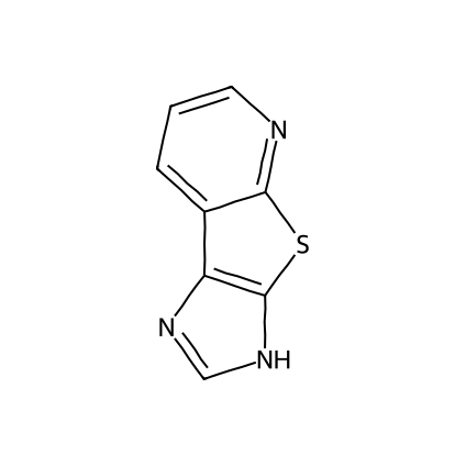 c1cnc2sc3[nH]cnc3c2c1